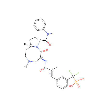 CC(=O)N1CC[C@H]2CC[C@@H](C(=O)N(C)c3ccccc3)N2C(=O)[C@@H](NC(=O)/C(C)=C/c2cccc(C(F)(F)P(=O)(O)O)c2)C1